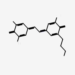 CCCCC1=C/C(=C/C=C2C=C(C)C(=O)C(C)=C2)C=C(C)C1=O